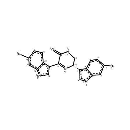 O=C1NC[C@H](c2c[nH]c3cc(Br)ccc23)N=C1c1c[nH]c2cc(Br)ccc12